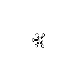 [O]=[Ta](=[O])(=[O])(=[O])=[O]